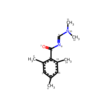 Cc1cc(C)c(C(=O)/N=C/N(C)C)c(C)c1